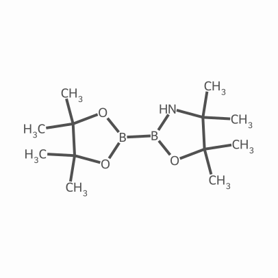 CC1(C)NB(B2OC(C)(C)C(C)(C)O2)OC1(C)C